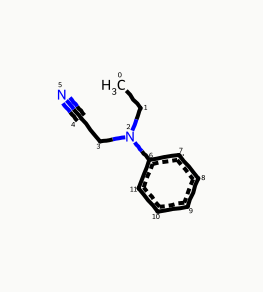 CCN(CC#N)c1[c]cccc1